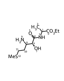 CCOC(=O)C(C)NC(=O)[C@@H](O)C(N)CCSC